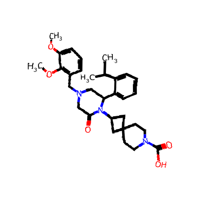 COc1cccc(CN2CC(=O)N(C3CC4(CCN(C(=O)O)CC4)C3)C(c3ccccc3C(C)C)C2)c1OC